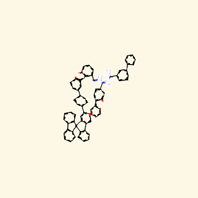 N=C(/N=C(\N=C\c1cccc2oc3ccc(-c4ccc(-c5ccc6c(c5)C5(c7ccccc7-c7ccccc75)c5ccccc5-6)cc4)cc3c12)c1ccc2c(c1)oc1ccccc12)c1cccc(-c2ccccc2)c1